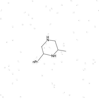 CCCC1CNCC(C)N1